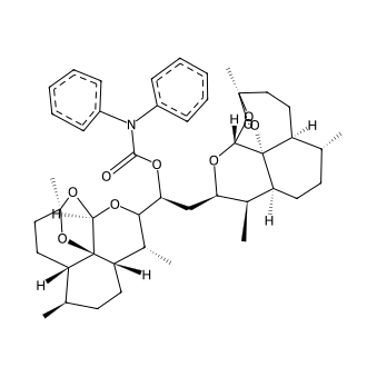 C[C@H]1[C@@H](C[C@H](OC(=O)N(c2ccccc2)c2ccccc2)C2O[C@@H]3O[C@]4(C)CC[C@H]5[C@H](C)CC[C@@H]([C@H]2C)[C@@]35O4)O[C@@H]2O[C@]3(C)CC[C@H]4[C@H](C)CC[C@@H]1[C@@]24OO3